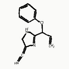 C=CC(Oc1ccccc1)C1=NC(=C=N)CN1